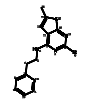 CCc1nc(NCCc2ccccn2)c2cc(C)sc2n1